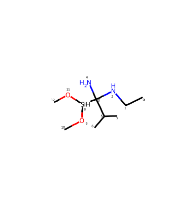 CCNC(N)(C(C)C)[SiH](OC)OC